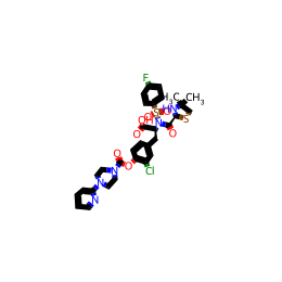 CC1(C)CS[C@@H](C(=O)N([C@@H](Cc2ccc(OC(=O)N3CCN(c4ccccn4)CC3)c(Cl)c2)C(=O)O)S(=O)(=O)c2ccc(F)cc2)N1